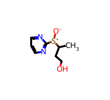 CC(CCO)[S+]([O-])c1ncccn1